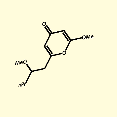 CCCC(Cc1cc(=O)cc(OC)o1)OC